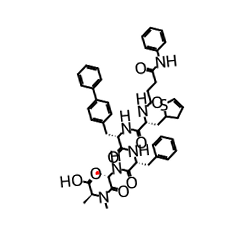 C[C@H](NC(=O)[C@@H](Cc1ccccc1)NC(=O)[C@H](Cc1ccc(-c2ccccc2)cc1)NC(=O)[C@@H](CC1CC=CS1)NC(=O)CCC(=O)Nc1ccccc1)C(=O)N(C)[C@@H](C)C(=O)O